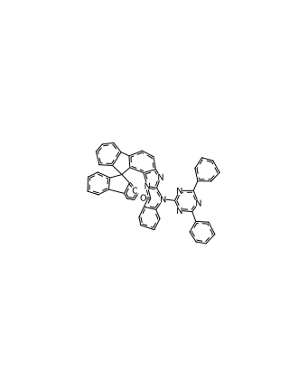 O=c1c2ccccc2n(-c2nc(-c3ccccc3)nc(-c3ccccc3)n2)c2nc3ccc4c(c3n12)C1(c2ccccc2-c2ccccc21)c1ccccc1-4